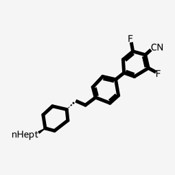 CCCCCCC[C@H]1CC[C@H](CCc2ccc(-c3cc(F)c(C#N)c(F)c3)cc2)CC1